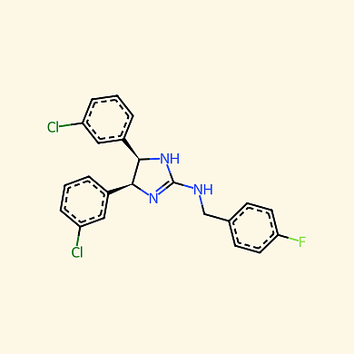 Fc1ccc(CNC2=N[C@@H](c3cccc(Cl)c3)[C@@H](c3cccc(Cl)c3)N2)cc1